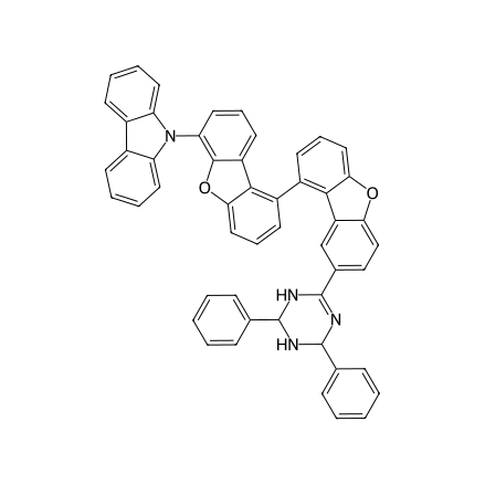 c1ccc(C2N=C(c3ccc4oc5cccc(-c6cccc7oc8c(-n9c%10ccccc%10c%10ccccc%109)cccc8c67)c5c4c3)NC(c3ccccc3)N2)cc1